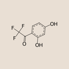 O=C(c1ccc(O)cc1O)C(F)(F)F